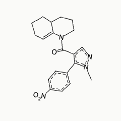 Cn1ncc(C(=O)N2CCCC3CCCC=C32)c1-c1ccc([N+](=O)[O-])cc1